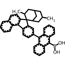 CC1CC2CC(C)C3(c4cc(-c5c6ccccc6c(B(O)O)c6ccccc56)ccc4-c4c3ccc3ccccc43)C(C1)C2